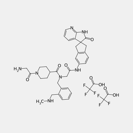 CNCc1ccccc1CN(CC(=O)Nc1ccc2c(c1)CC1(C2)C(=O)Nc2ncccc21)C(=O)C1CCN(C(=O)CN)CC1.O=C(O)C(F)(F)F.O=C(O)C(F)(F)F